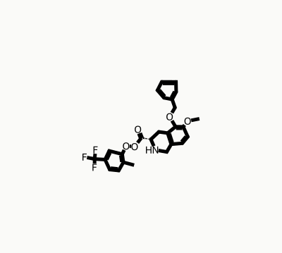 COc1ccc2c(c1OCc1ccccc1)C[C@@H](C(=O)OOc1cc(C(F)(F)F)ccc1C)NC2